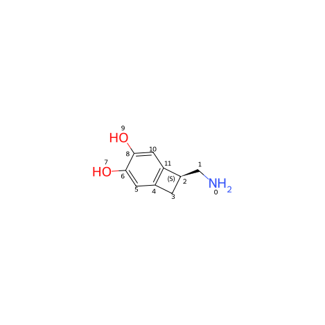 NC[C@H]1Cc2cc(O)c(O)cc21